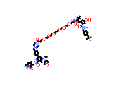 CCN(c1cc(-c2ccc(CN3CCN(C(=O)CCOCCOCCOCCOCCOCCOCCC(=O)N[C@H](C(=O)C4C[C@H](O)C[C@@H]4C(=O)NCc4ccc(-c5scnc5C)cc4)C(C)(C)C)CC3)cc2)cc(C(=O)NCc2c(C)cc(C)[nH]c2=O)c1C)C1CCOCC1